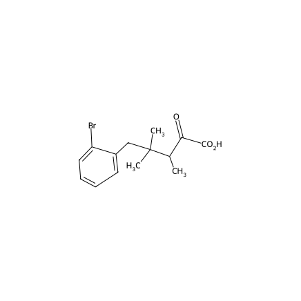 CC(C(=O)C(=O)O)C(C)(C)Cc1ccccc1Br